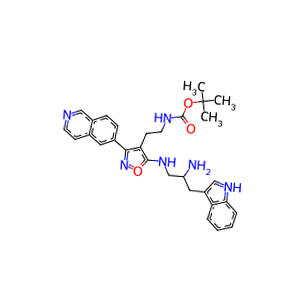 CC(C)(C)OC(=O)NCCc1c(-c2ccc3cnccc3c2)noc1NCC(N)Cc1c[nH]c2ccccc12